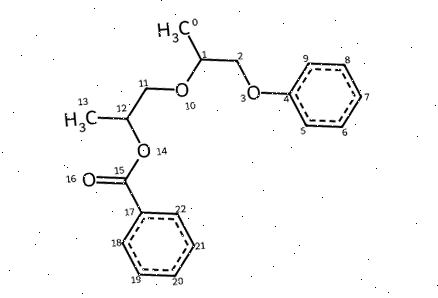 CC(COc1ccccc1)OCC(C)OC(=O)c1ccccc1